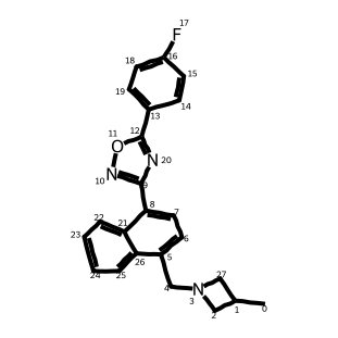 CC1CN(Cc2ccc(-c3noc(-c4ccc(F)cc4)n3)c3ccccc23)C1